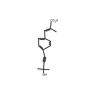 C/C(=C\c1ccc(C#CC(C)(C)O)cc1)C(=O)O